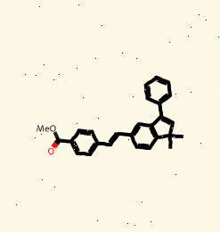 COC(=O)c1ccc(/C=C/c2ccc3c(c2)C(c2ccccc2)=CC3(C)C)cc1